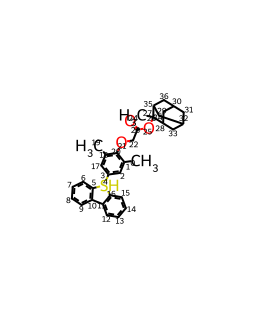 Cc1cc([SH]2c3ccccc3-c3ccccc32)cc(C)c1OCC(=O)OC1(C)C2CC3CC(C2)CC1C3